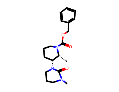 C[C@@H]1[C@H](N2CCCN(C)C2=O)CCCN1C(=O)OCc1ccccc1